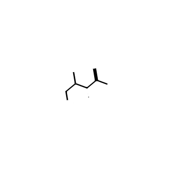 C=C(C)[C@H](O)C(C)CC(C)C